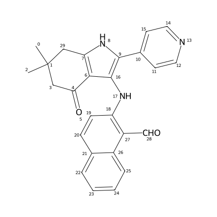 CC1(C)CC(=O)c2c([nH]c(-c3ccncc3)c2Nc2ccc3ccccc3c2C=O)C1